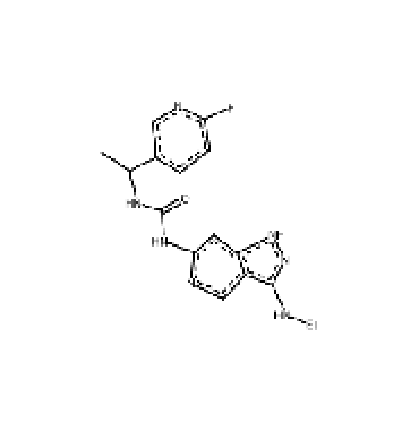 CCNc1n[nH]c2cc(NC(=O)NC(C)c3ccc(F)nc3)ncc12